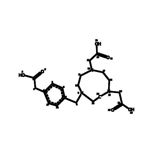 O=C(O)Cc1ccc(CN2CCN(CC(=O)O)CCN(CC(=O)O)CC2)cc1